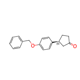 O=C1CC[C@H](c2ccc(OCc3ccccc3)cc2)C1